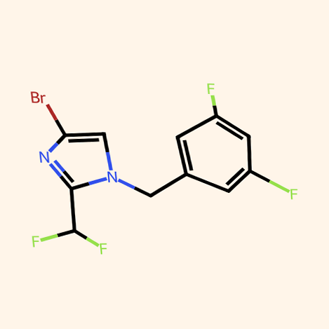 Fc1cc(F)cc(Cn2cc(Br)nc2C(F)F)c1